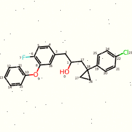 OC(Cc1ccc(F)c(Oc2ccccc2)c1)CC1(c2ccc(Cl)cc2)CC1